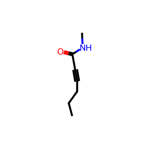 CCCC#CC(=O)NC